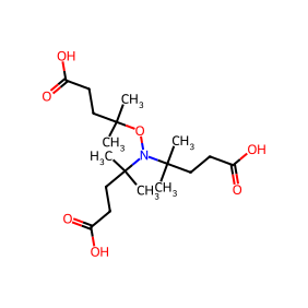 CC(C)(CCC(=O)O)ON(C(C)(C)CCC(=O)O)C(C)(C)CCC(=O)O